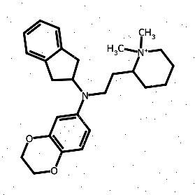 C[N+]1(C)CCCCC1CCN(c1ccc2c(c1)OCCO2)C1Cc2ccccc2C1